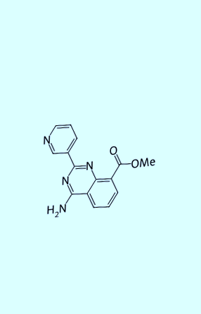 COC(=O)c1cccc2c(N)nc(-c3cccnc3)nc12